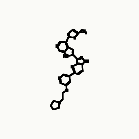 Cc1ccc(-c2cncc3[nH]c(-c4n[nH]c5ccc(-c6cncc(OCCN7CCCC7)c6)nc45)cc23)s1